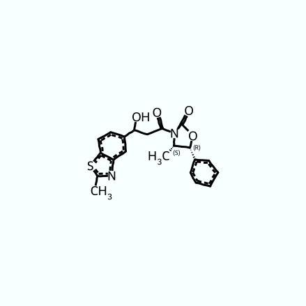 Cc1nc2cc(C(O)CC(=O)N3C(=O)O[C@H](c4ccccc4)[C@@H]3C)ccc2s1